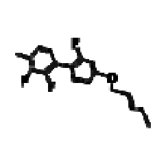 CCC=CCOc1ccc(-c2ccc(C)c(F)c2F)c(F)c1